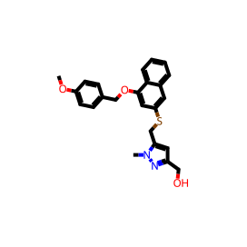 COc1ccc(COc2cc(SCc3cc(CO)nn3C)cc3ccccc23)cc1